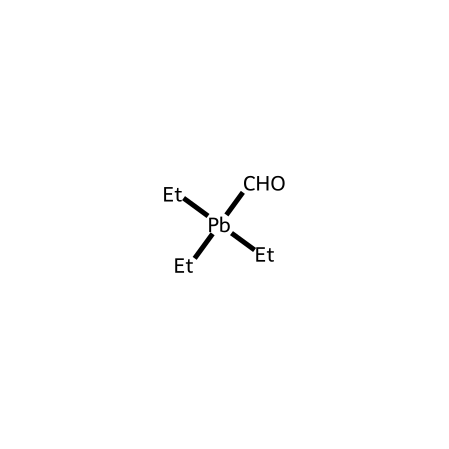 C[CH2][Pb]([CH]=O)([CH2]C)[CH2]C